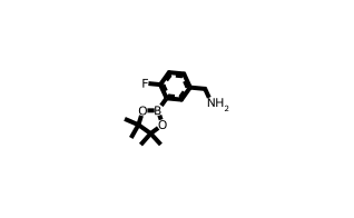 CC1(C)OB(c2cc(CN)ccc2F)OC1(C)C